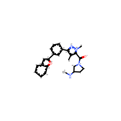 CCNC1CCN(C(=O)c2c(C)c(-c3cccc(-c4cc5ccccc5o4)c3)nn2C)C1